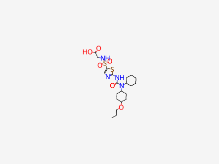 CCCOC1CCC(N(C(=O)Nc2ncc(S(=O)(=O)NCC(=O)O)s2)C2CCCCC2)CC1